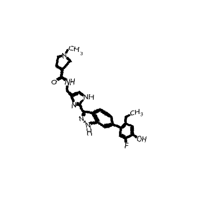 CCc1cc(O)c(F)cc1-c1ccc2c(-c3nc(CNC(=O)C4CCN(C)C4)c[nH]3)n[nH]c2c1